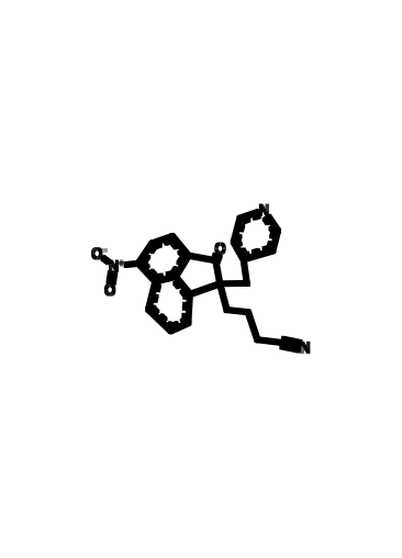 N#CCCCC1(Cc2ccncc2)C(=O)c2ccc([N+](=O)[O-])c3cccc1c23